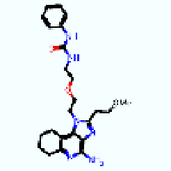 COCCc1nc2c(N)nc3c(c2n1CCOCCNC(=O)Nc1ccccc1)CCCC3